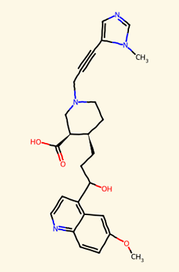 COc1ccc2nccc(C(O)CC[C@@H]3CCN(CC#Cc4cncn4C)C[C@@H]3C(=O)O)c2c1